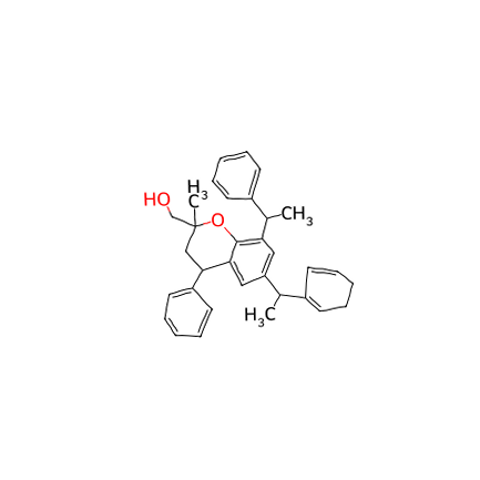 CC(C1=CCCC=C1)c1cc(C(C)c2ccccc2)c2c(c1)C(c1ccccc1)CC(C)(CO)O2